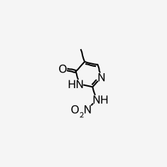 Cc1cnc(N[N+](=O)[O-])[nH]c1=O